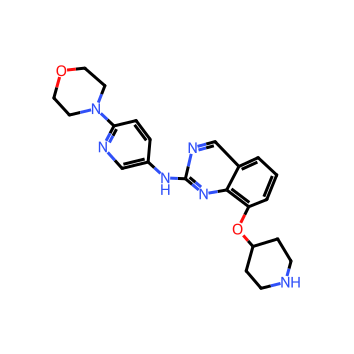 c1cc(OC2CCNCC2)c2nc(Nc3ccc(N4CCOCC4)nc3)ncc2c1